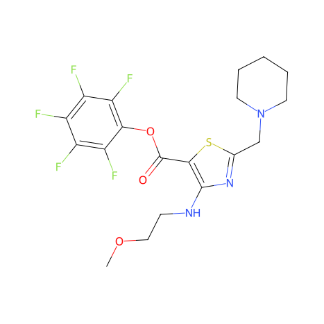 COCCNc1nc(CN2CCCCC2)sc1C(=O)Oc1c(F)c(F)c(F)c(F)c1F